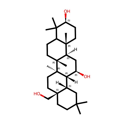 CC1(C)CC[C@]2(CO)CC[C@]3(C)[C@H]([C@H](O)C[C@@H]4[C@@]5(C)CC[C@H](O)C(C)(C)C5CC[C@]43C)[C@@H]2C1